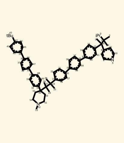 CC(C)C(C)(C)C(C)(c1ccncc1)c1ccc(-c2ccc(-c3ccc(C(C)(C)C(C)(C)C4(c5ccc(-c6ccc(-c7ccc(C(C)(C)C)cc7)cc6)cc5)CCN(C)CC4)cc3)cc2)cc1